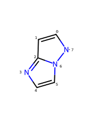 C1=Cc2nccn2[N]1